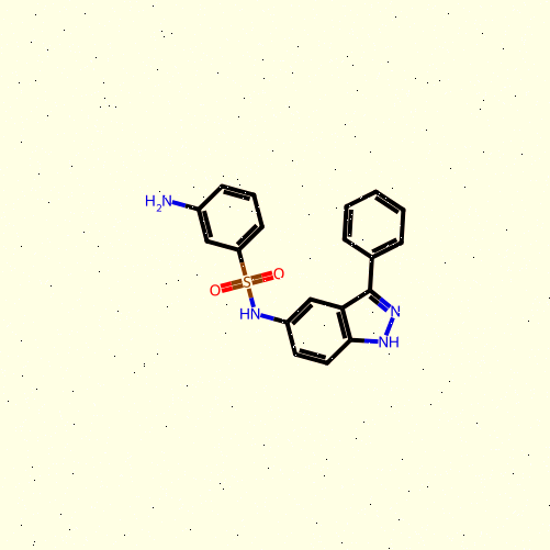 Nc1cccc(S(=O)(=O)Nc2ccc3[nH]nc(-c4ccccc4)c3c2)c1